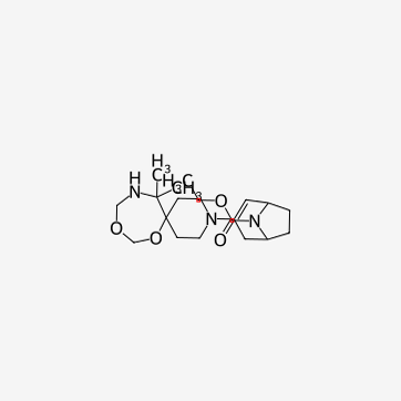 CCOC(=O)N1C2C=C(N3CCC4(CC3)OCOCNC4(C)C)CC1CC2